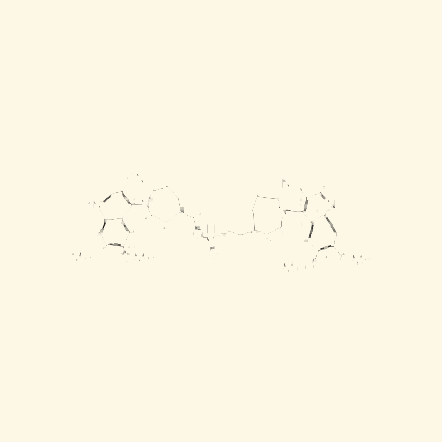 COc1cc2ncc(C#N)c(N3CCCC(CO[PH](=O)OCC4CCCN(c5c(C#N)cnc6cc(OC)c(OC)cc56)CC4)CC3)c2cc1OC